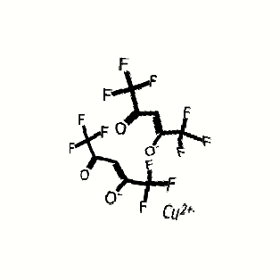 O=C(/C=C(\[O-])C(F)(F)F)C(F)(F)F.O=C(/C=C(\[O-])C(F)(F)F)C(F)(F)F.[Cu+2]